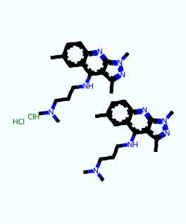 Cc1ccc2nc3c(c(C)nn3C)c(NCCCN(C)C)c2c1.Cc1ccc2nc3c(c(C)nn3C)c(NCCCN(C)C)c2c1.Cl.Cl